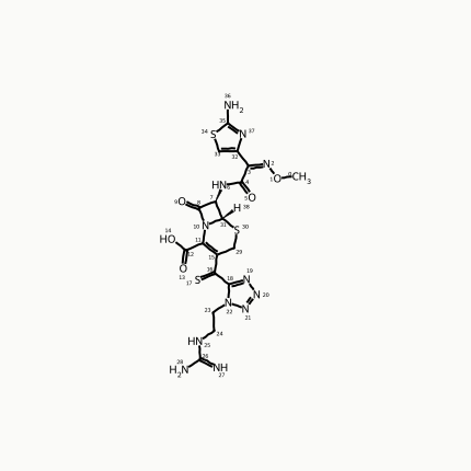 CO/N=C(\C(=O)N[C@@H]1C(=O)N2C(C(=O)O)=C(C(=S)c3nnnn3CCNC(=N)N)CS[C@@H]12)c1csc(N)n1